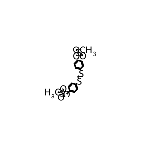 CS(=O)(=O)Oc1ccc(SCSc2ccc(OS(C)(=O)=O)cc2)cc1